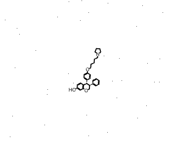 Oc1ccc2c(c1)OC[C@H](c1ccccc1)[C@@H]2c1ccc(OCCCCCN2CCCC2)cc1